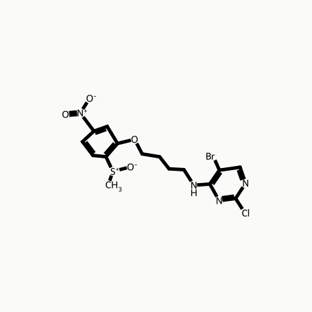 C[S+]([O-])c1ccc([N+](=O)[O-])cc1OCCCCNc1nc(Cl)ncc1Br